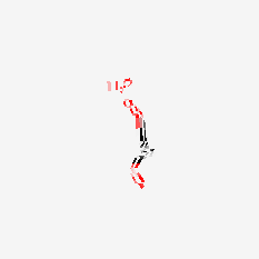 O.[O]=[Sn]=[O]